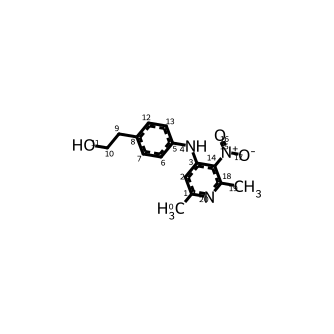 Cc1cc(Nc2ccc(CCO)cc2)c([N+](=O)[O-])c(C)n1